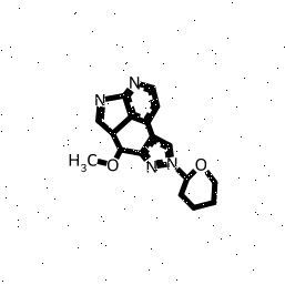 COC1c2nn(C3CCCCO3)cc2-c2ccnc3c2C1C=N3